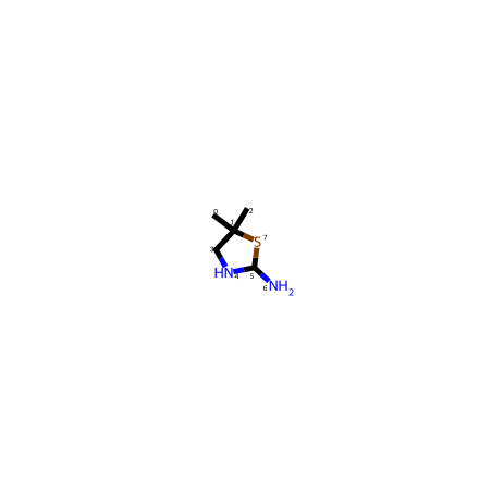 CC1(C)CNC(N)S1